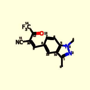 Cc1nn(C)c2ccc(C=C(C#N)C(=O)C(F)(F)F)cc12